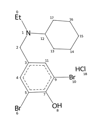 CCN(Cc1cc(Br)c(O)c(Br)c1)C1CCCCC1.Cl